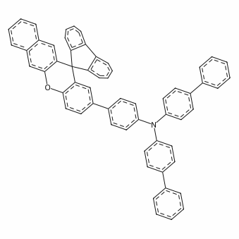 c1ccc(-c2ccc(N(c3ccc(-c4ccccc4)cc3)c3ccc(-c4ccc5c(c4)C4(c6cc7ccccc7cc6O5)c5ccccc5-c5ccccc54)cc3)cc2)cc1